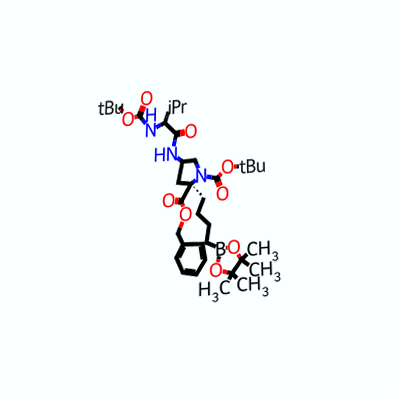 CC(C)C(NC(=O)OC(C)(C)C)C(=O)NC1CN(C(=O)OC(C)(C)C)[C@@](CCCCB2OC(C)(C)C(C)(C)O2)(C(=O)OCc2ccccc2)C1